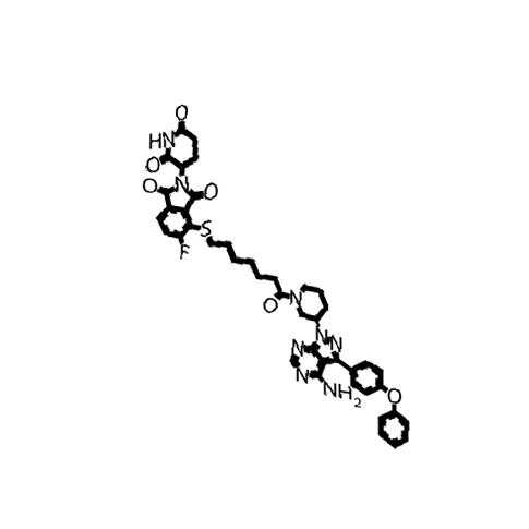 Nc1ncnc2c1c(-c1ccc(Oc3ccccc3)cc1)nn2[C@@H]1CCCN(C(=O)CCCCCCSc2c(F)ccc3c2C(=O)N(C2CCC(=O)NC2=O)C3=O)C1